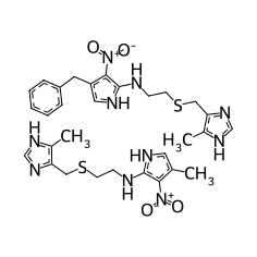 Cc1[nH]cnc1CSCCNc1[nH]cc(Cc2ccccc2)c1[N+](=O)[O-].Cc1c[nH]c(NCCSCc2nc[nH]c2C)c1[N+](=O)[O-]